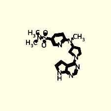 CN(c1ccc(S(=O)(=O)N(C)C)cn1)C1CCN(c2ncnc3[nH]ccc23)C1